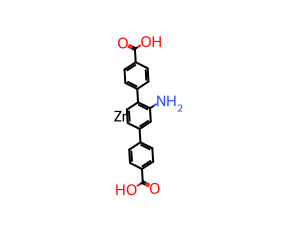 Nc1cc(-c2ccc(C(=O)O)cc2)ccc1-c1ccc(C(=O)O)cc1.[Zr]